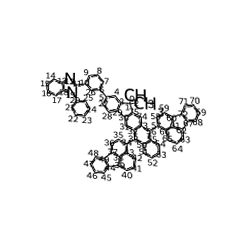 CC1(C)c2cc(-c3cccc(-c4nc5ccccc5n4-c4ccccc4)c3)ccc2-c2cc3c(-c4ccc5c6c(cccc46)-c4ccccc4-5)c4ccccc4c(-c4ccc5c6c(cccc46)-c4ccccc4-5)c3cc21